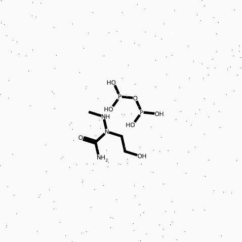 CNN(CCO)C(N)=O.OP(O)OP(O)O